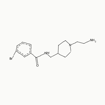 NCCN1CCC(CNC(=O)c2cccc(Br)c2)CC1